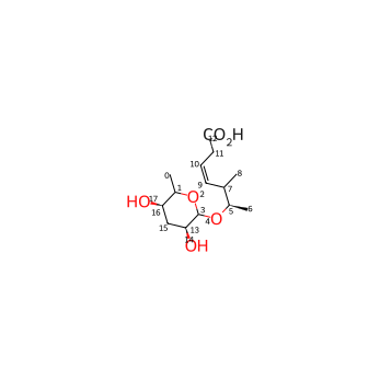 CC1OC(O[C@H](C)C(C)/C=C\CC(=O)O)[C@@H](O)C[C@H]1O